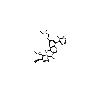 CCOc1cc([C@H](C)N2CCc3c(cc(CCN(C)CC)cc3-c3cccnc3C)C2=O)ncc1C#N